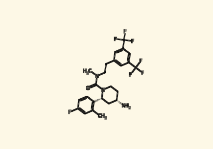 Cc1cc(F)ccc1[C@H]1C[C@@H](N)CCN1C(=O)N(C)CCc1cc(C(F)(F)F)cc(C(F)(F)F)c1